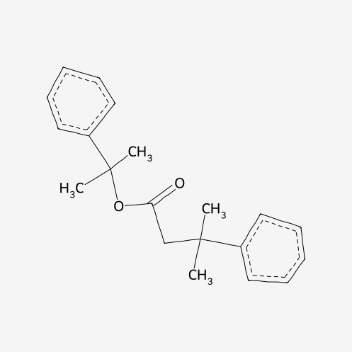 CC(C)(CC(=O)OC(C)(C)c1ccccc1)c1ccccc1